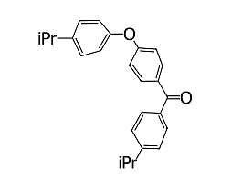 CC(C)c1ccc(Oc2ccc(C(=O)c3ccc(C(C)C)cc3)cc2)cc1